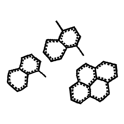 Cc1ccc(C)c2ccccc12.Cc1cccc2ccccc12.c1cc2ccc3cccc4ccc(c1)c2c34